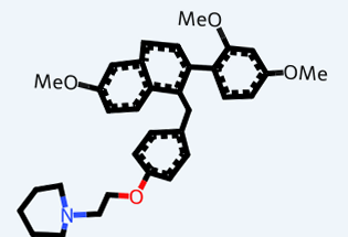 COc1ccc(-c2ccc3cc(OC)ccc3c2Cc2ccc(OCCN3CCCCC3)cc2)c(OC)c1